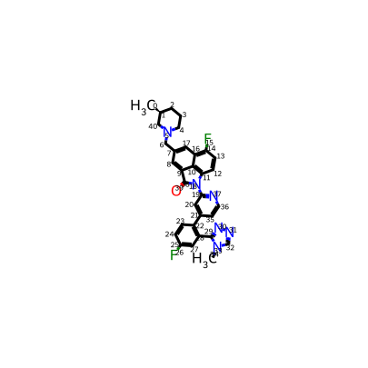 C[C@H]1CCCN(Cc2cc3c4c(ccc(F)c4c2)N(c2cc(-c4ccc(F)cc4-c4nncn4C)ccn2)C3=O)C1